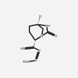 CN/N=N\C(=N)[C@@H]1CC[C@@H]2CN1C(=O)N2